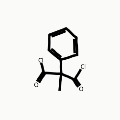 CC(C(=O)Cl)(C(=O)Cl)c1ccccc1